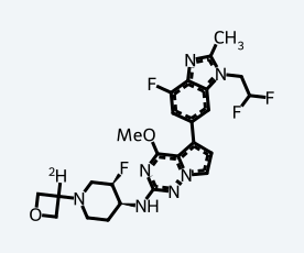 [2H]C1(N2CC[C@H](Nc3nc(OC)c4c(-c5cc(F)c6nc(C)n(CC(F)F)c6c5)ccn4n3)[C@H](F)C2)COC1